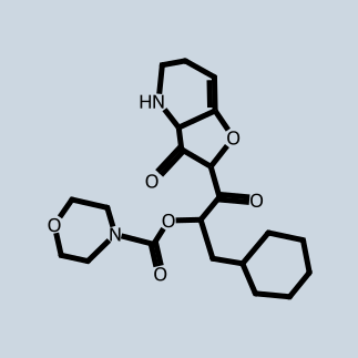 O=C(C(CC1CCCCC1)OC(=O)N1CCOCC1)C1OC2=CCCNC2C1=O